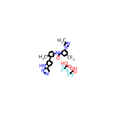 Cc1cn(-c2cc(C(=O)Nc3ccc(C)c(-c4ccc5c(c4)[nH]c4ncncc45)c3)cc(C(F)(F)F)c2)cn1.O=C(O)C(F)(F)F.O=C(O)C(F)(F)F